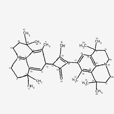 CC1=C2C3=[N+](CCC(C)(C)C3=CC1C1C(=O)C(c3cc4c5c(c3C)C(C)(C)CCN5CCC4(C)C)=C1O)CCC2(C)C